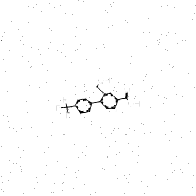 O=C(O)c1ccc(-c2ccc(C(F)(F)F)cc2)c(CO)c1